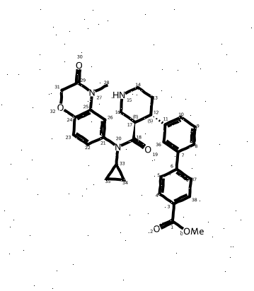 COC(=O)c1ccc(-c2cccc([C@H]3CCNC[C@@H]3C(=O)N(c3ccc4c(c3)N(C)C(=O)CO4)C3CC3)c2)cc1